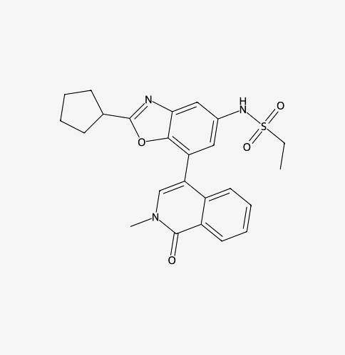 CCS(=O)(=O)Nc1cc(-c2cn(C)c(=O)c3ccccc23)c2oc(C3CCCC3)nc2c1